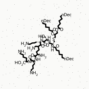 CCCCCCCCCCCCCCCC(=O)N[C@@H](CSCC(COC(=O)CCCCCCCCCCCCCCC)OC(=O)CCCCCCCCCCCCCCC)C(=O)N[C@@H](CO)C(=O)N[C@@H](CCCCN)C(=O)C(CN)CCC(N)C(=O)N[C@@H](CCCCN)C(=O)N[C@@H](CCCCN)C(=O)O